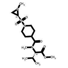 COC(=O)[C@H](C(C)C)N(C)C(=O)C1CCN(S(=O)(=O)[C@H]2CN2C)CC1